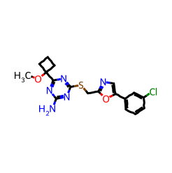 COC1(c2nc(N)nc(SCc3ncc(-c4cccc(Cl)c4)o3)n2)CCC1